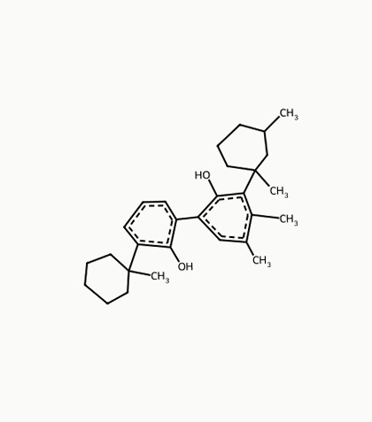 Cc1cc(-c2cccc(C3(C)CCCCC3)c2O)c(O)c(C2(C)CCCC(C)C2)c1C